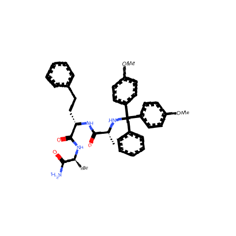 CCCC[C@H](NC(=O)[C@H](CCc1ccccc1)NC(=O)[C@@H](C)NC(c1ccccc1)(c1ccc(OC)cc1)c1ccc(OC)cc1)C(N)=O